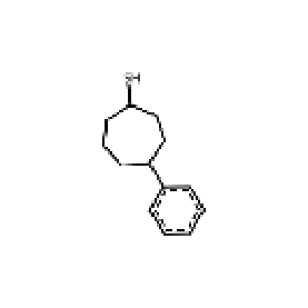 SC1CCCC(c2ccccc2)CC1